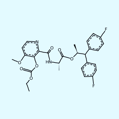 CCOC(=O)Oc1c(OC)ccnc1C(=O)N[C@@H](C)C(=O)O[C@@H](C)C(c1ccc(F)cc1)c1ccc(F)cc1